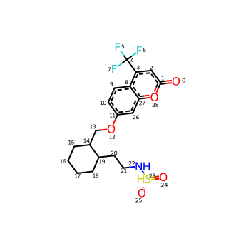 O=c1cc(C(F)(F)F)c2ccc(OCC3CCCCC3CCN[SH](=O)=O)cc2o1